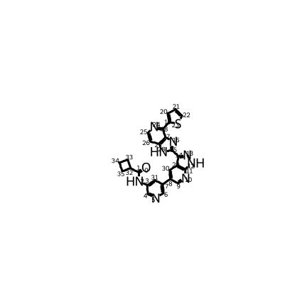 O=C(Nc1cncc(-c2cnc3[nH]nc(-c4nc5c(-c6cccs6)nccc5[nH]4)c3c2)c1)C1CCC1